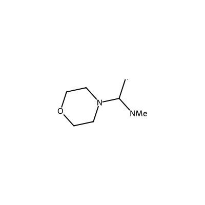 [CH2]C(NC)N1CCOCC1